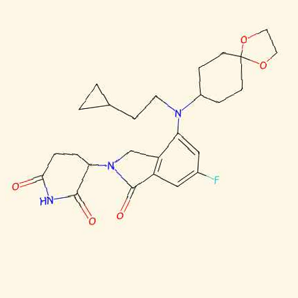 O=C1CCC(N2Cc3c(cc(F)cc3N(CCC3CC3)C3CCC4(CC3)OCCO4)C2=O)C(=O)N1